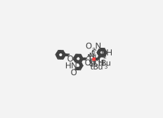 CC(C)(C)C(CN(C[C@H](O[Si](C)(C)C(C)(C)C)c1ccc(OCc2ccccc2)c2[nH]c(=O)ccc12)C(=O)O)c1cccc([N+](=O)[O-])c1